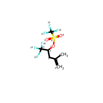 C=C(C)CC(OS(=O)(=O)C(F)(F)F)C(F)(F)F